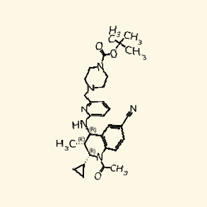 CC(=O)N1c2ccc(C#N)cc2[C@H](Nc2cccc(CN3CCN(C(=O)OC(C)(C)C)CC3)n2)[C@@H](C)[C@H]1C1CC1